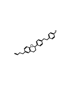 C=CCCc1ccc2c(c1)CCC(c1ccc(CCc3ccc(F)cc3)cc1)O2